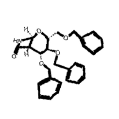 O=C1N[C@H]2O[C@H](COCc3ccccc3)[C@@H](OCc3ccccc3)[C@H](OCc3ccccc3)[C@@H]12